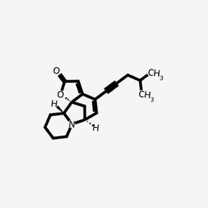 CC(C)CC#CC1=C[C@@H]2C[C@@]3(OC(=O)C=C13)[C@H]1CCCCN21